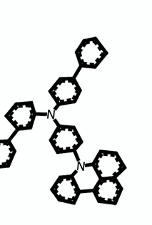 c1ccc(-c2ccc(N(c3ccc(N4c5ccccc5-c5cccc6cccc4c56)cc3)c3cccc(-c4ccccc4)c3)cc2)cc1